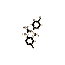 Cc1ccc(NC(=N)N(N)c2ccc(C)cc2)cc1